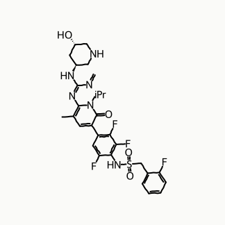 C=N/C(=N\c1c(C)cc(-c2cc(F)c(NS(=O)(=O)Cc3ccccc3F)c(F)c2F)c(=O)n1C(C)C)N[C@@H]1CNC[C@@H](O)C1